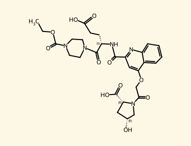 CCOC(=O)N1CCN(C(=O)[C@H](CCC(=O)O)NC(=O)c2cc(OCC(=O)N3C[C@H](O)C[C@@H]3C(=O)O)c3ccccc3n2)CC1